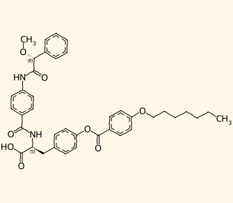 CCCCCCCOc1ccc(C(=O)Oc2ccc(C[C@H](NC(=O)c3ccc(NC(=O)[C@H](OC)c4ccccc4)cc3)C(=O)O)cc2)cc1